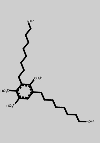 CCCCCCCCCCCCCCCCCCc1cc(C(=O)O)c(C(=O)O)c(CCCCCCCCCCCCCCCCCC)c1C(=O)O